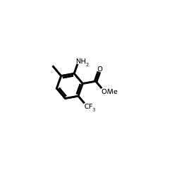 COC(=O)c1c(C(F)(F)F)ccc(C)c1N